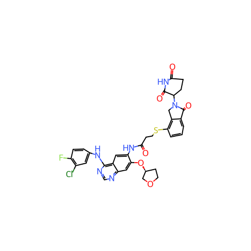 O=C1CCC(N2Cc3c(SCCC(=O)Nc4cc5c(Nc6ccc(F)c(Cl)c6)ncnc5cc4O[C@H]4CCOC4)cccc3C2=O)C(=O)N1